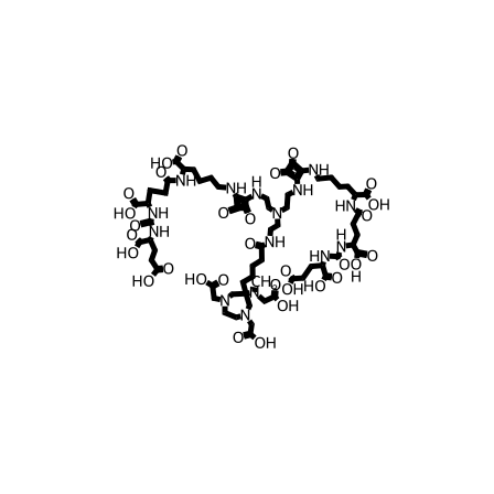 CN(CC(=O)O)C1(CCCCC(=O)NCCN(CCNc2c(NCCCCC(NC(=O)CCC(NC(=O)NC(CCC(=O)O)C(=O)O)C(=O)O)C(=O)O)c(=O)c2=O)CCNc2c(NCCCCC(NC(=O)CCC(NC(=O)NC(CCC(=O)O)C(=O)O)C(=O)O)C(=O)O)c(=O)c2=O)CN(CC(=O)O)CCN(CC(=O)O)C1